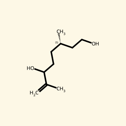 C=C(C)C(O)CC[C@H](C)CCO